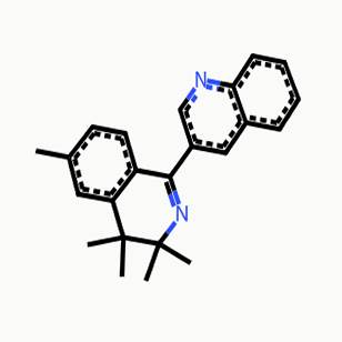 Cc1ccc2c(c1)C(C)(C)C(C)(C)N=C2c1cnc2ccccc2c1